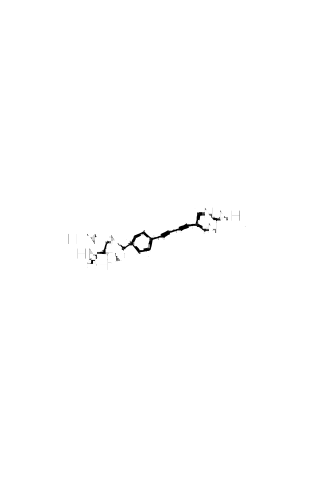 NC[C@H](NC(=O)c1ccc(C#CC#Cc2cnc(N)nc2)cc1)C(=O)NO